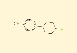 FC1CCC(c2ccc(Cl)cc2)CC1